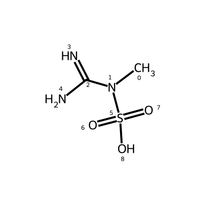 CN(C(=N)N)S(=O)(=O)O